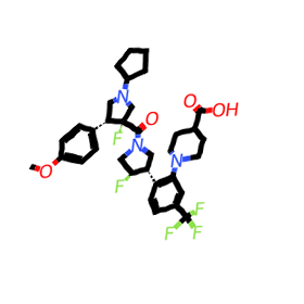 COc1ccc([C@@H]2CN(C3CCCC3)C[C@@]2(F)C(=O)N2C[C@H](c3ccc(C(F)(F)F)cc3N3CCC(C(=O)O)CC3)[C@@H](F)C2)cc1